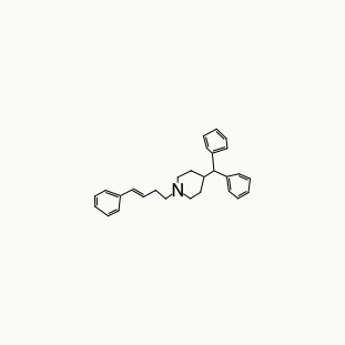 C(=Cc1ccccc1)CCN1CCC(C(c2ccccc2)c2ccccc2)CC1